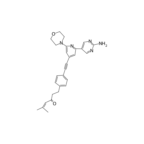 CC(C)=CC(=O)CCc1ccc(C#Cc2cc(-c3cnc(N)nc3)nc(N3CCOCC3)c2)cc1